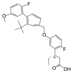 CC[C@@H](CC(=O)O)c1cc(OCc2ccc(-c3cc(OC)ccc3F)c(C(C)(C)C)c2)ccc1F